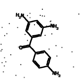 Nc1ccc(C(=O)c2cc(N)cc(N)c2)cc1